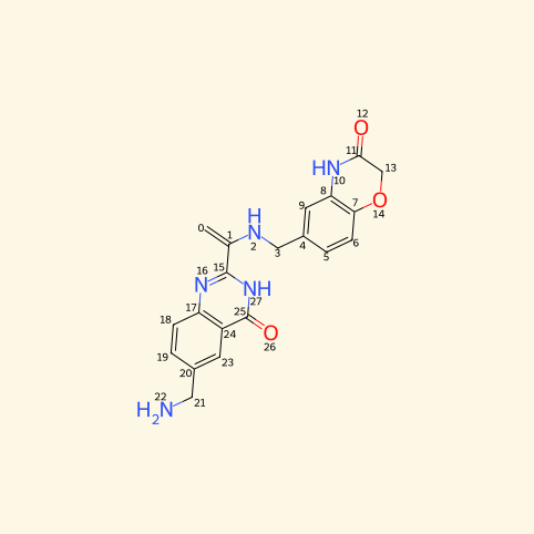 C=C(NCc1ccc2c(c1)NC(=O)CO2)c1nc2ccc(CN)cc2c(=O)[nH]1